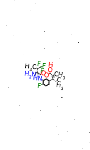 CCC(c1ccc(F)c(NC(=O)[C@@H](N)C(C)C(F)(F)F)c1)[C@H](C)C(=O)O